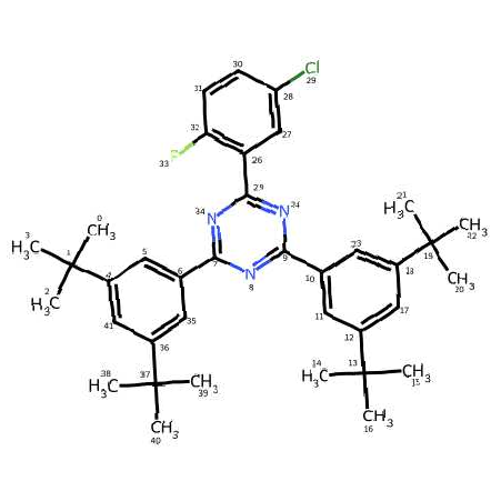 CC(C)(C)c1cc(-c2nc(-c3cc(C(C)(C)C)cc(C(C)(C)C)c3)nc(-c3cc(Cl)ccc3F)n2)cc(C(C)(C)C)c1